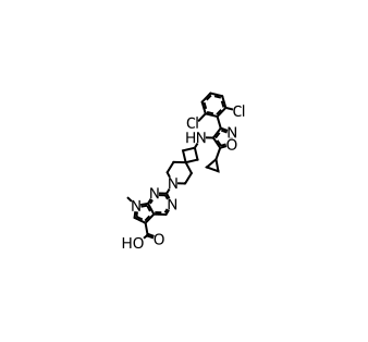 Cn1cc(C(=O)O)c2cnc(N3CCC4(CC3)CC(Nc3c(-c5c(Cl)cccc5Cl)noc3C3CC3)C4)nc21